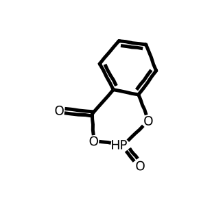 O=C1O[PH](=O)Oc2ccccc21